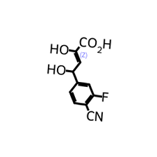 N#Cc1ccc(C(O)/C=C(\O)C(=O)O)cc1F